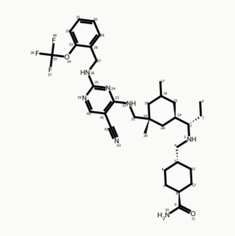 CC[C@H](NC[C@H]1CC[C@H](C(N)=O)CC1)[C@@H]1CC(C)C[C@@](C)(CNc2nc(NCc3ccccc3OC(F)(F)F)ncc2C#N)C1